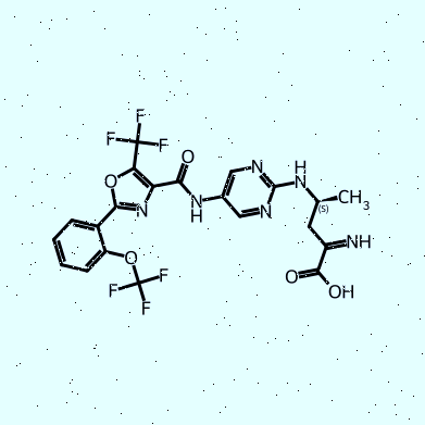 C[C@@H](CC(=N)C(=O)O)Nc1ncc(NC(=O)c2nc(-c3ccccc3OC(F)(F)F)oc2C(F)(F)F)cn1